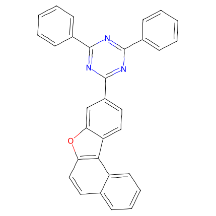 c1ccc(-c2nc(-c3ccccc3)nc(-c3ccc4c(c3)oc3ccc5ccccc5c34)n2)cc1